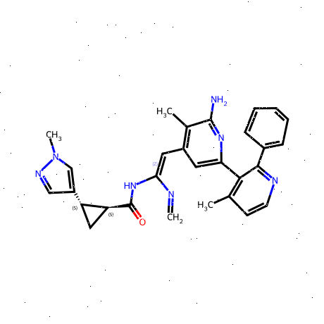 C=N/C(=C\c1cc(-c2c(C)ccnc2-c2ccccc2)nc(N)c1C)NC(=O)[C@H]1C[C@@H]1c1cnn(C)c1